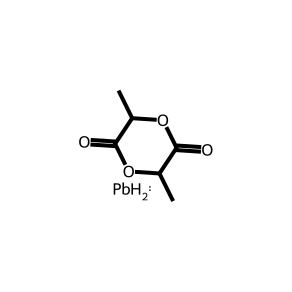 CC1OC(=O)C(C)OC1=O.[PbH2]